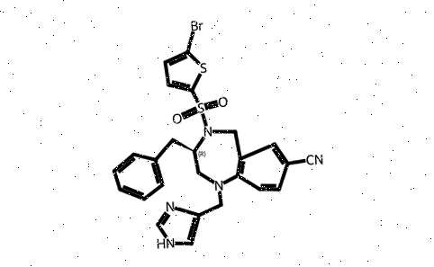 N#Cc1ccc2c(c1)CN(S(=O)(=O)c1ccc(Br)s1)[C@H](Cc1ccccc1)CN2Cc1c[nH]cn1